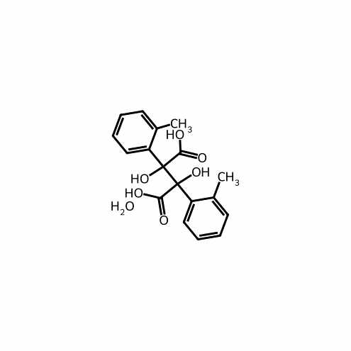 Cc1ccccc1C(O)(C(=O)O)C(O)(C(=O)O)c1ccccc1C.O